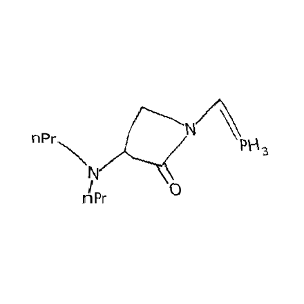 CCCN(CCC)C1CN(C=[PH3])C1=O